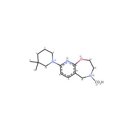 CC1(C)CCCN(c2ccc3c(n2)OCCN(C(=O)O)C3)C1